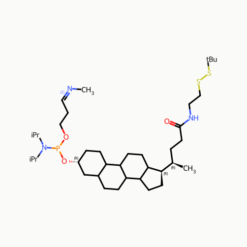 C/N=C\CCOP(O[C@@H]1CCC2C(CCC3C2CCC2C3CC[C@@H]2[C@H](C)CCC(=O)NCCSSC(C)(C)C)C1)N(C(C)C)C(C)C